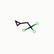 ClC(Cl)(Cl)C[C]1CC1